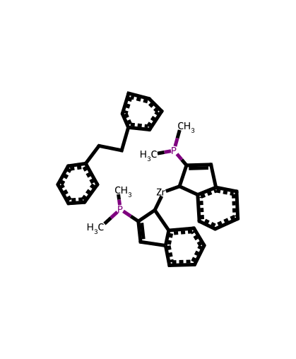 CP(C)C1=Cc2ccccc2[CH]1[Zr][CH]1C(P(C)C)=Cc2ccccc21.c1ccc(CCc2ccccc2)cc1